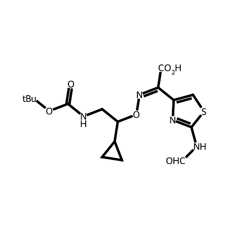 CC(C)(C)OC(=O)NCC(O/N=C(/C(=O)O)c1csc(NC=O)n1)C1CC1